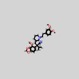 COc1ccc(CCN2CCCC(CC(C#N)(c3ccc4c(c3OC)OCO4)C(C)C)C2)cc1OC